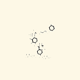 COc1cc2ncnc(Oc3ccc(NC(=O)OCCCOc4cccc(Cl)c4)c(C)c3C)c2cc1OC